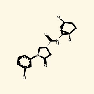 O=C(N[C@@H]1C[C@@H]2CC[C@H]1C2)[C@@H]1CC(=O)N(c2cccc(Cl)c2)C1